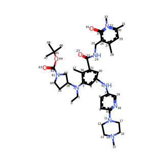 CCN(c1cc(Nc2ccc(N3CCN(C)CC3)nc2)cc(C(=O)NCc2c(C)cc(C)n(C)c2=O)c1C)C1CCN(C(=O)OC(C)(C)C)C1